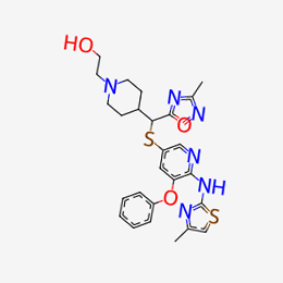 Cc1csc(Nc2ncc(SC(c3nc(C)no3)C3CCN(CCO)CC3)cc2Oc2ccccc2)n1